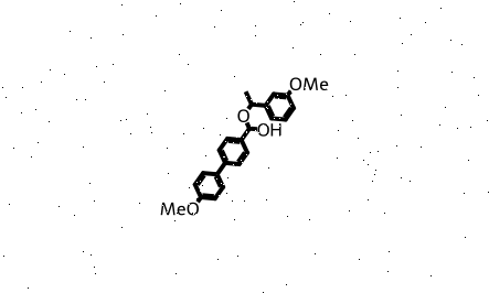 COc1ccc(-c2ccc(C(O)OC(C)c3cccc(OC)c3)cc2)cc1